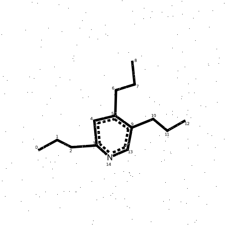 CCCc1cc(CCC)c(CCC)cn1